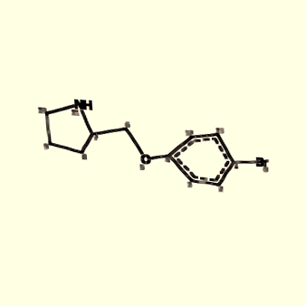 Brc1ccc(OCC2CCCN2)cc1